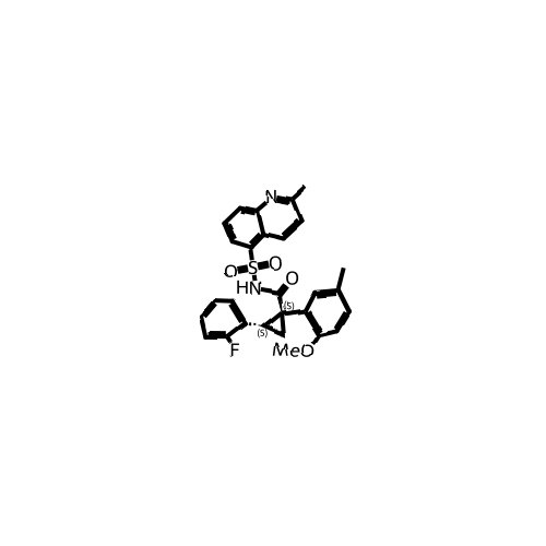 COc1ccc(C)cc1[C@]1(C(=O)NS(=O)(=O)c2cccc3nc(C)ccc23)C[C@@H]1c1ccccc1F